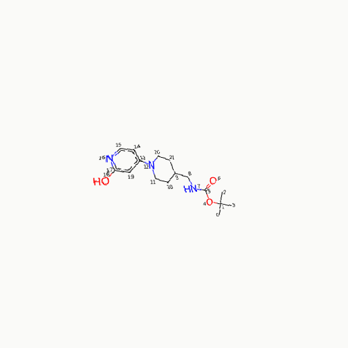 CC(C)(C)OC(=O)NCC1CCN(c2ccnc(O)c2)CC1